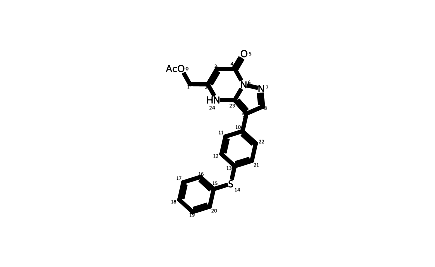 CC(=O)OCc1cc(=O)n2ncc(-c3ccc(Sc4ccccc4)cc3)c2[nH]1